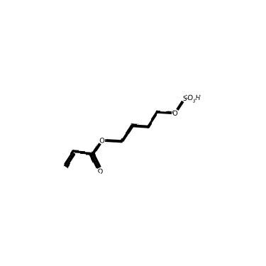 C=CC(=O)OCCCCOS(=O)(=O)O